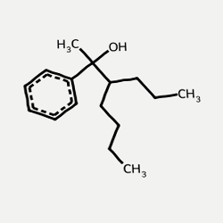 CCCCC(CCC)C(C)(O)c1ccccc1